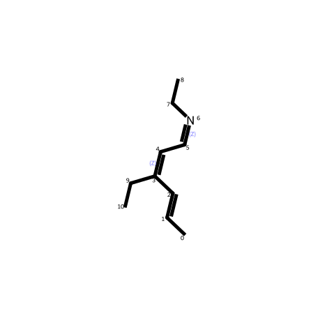 CC=C/C(=C\C=N/CC)CC